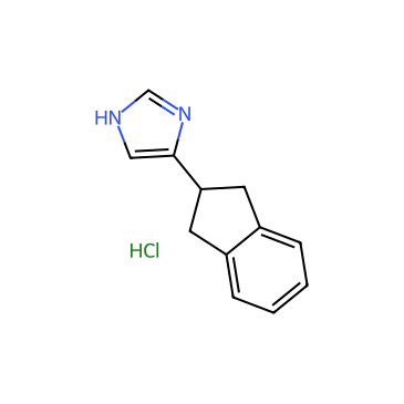 Cl.c1ccc2c(c1)CC(c1c[nH]cn1)C2